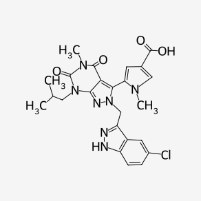 CC(C)Cn1c(=O)n(C)c(=O)c2c(-c3cc(C(=O)O)cn3C)n(Cc3n[nH]c4ccc(Cl)cc34)nc21